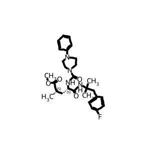 COC(=O)[C@@H](C)C[C@H](NC(=O)N1CCN(c2ccccc2)CC1)C(=O)NC(C)(C)Cc1ccc(F)cc1